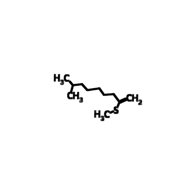 C=C(CCCCCC(C)C)SC